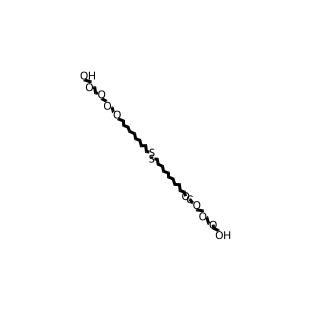 OCCOCCOCCOCCOCCCCCCCCCCCSSCCCCCCCCCCCOCCOCCOCCOCCO